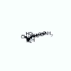 CC(=O)N1c2ccc(-c3ccc(C(=O)NCCOCCOCCOCCOCCOCCN)cc3)cc2[C@H](Nc2ccc(Cl)cc2)C[C@@H]1C.Cl